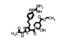 CCOC(=O)C1CCN(C(=O)c2sc(NC(C)=O)nc2CCc2ccc(NC(=N)N)cc2)CC1.Cl